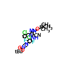 CC(C)(C)OC(=O)N1CCN(c2cc(F)c(Nc3nc(Cc4c(Cl)cccc4Cl)c4ncn(COCC[Si](C)(C)C)c4c3C#N)cc2F)CC1